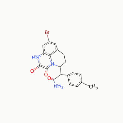 Cc1ccc(C(C(N)=O)C2CCc3cc(Br)cc4[nH]c(=O)c(=O)n2c34)cc1